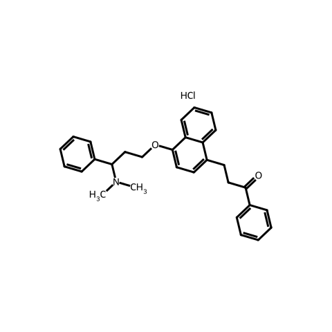 CN(C)C(CCOc1ccc(CCC(=O)c2ccccc2)c2ccccc12)c1ccccc1.Cl